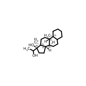 CC(O)[C@@]1(O)CC[C@H]2[C@@H]3CCC4CCCC[C@]4(C)[C@H]3CC[C@@]21C